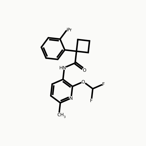 Cc1ccc(NC(=O)C2(c3ccccc3C(C)C)CCC2)c(OC(F)F)n1